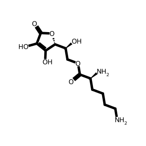 NCCCC[C@H](N)C(=O)OC[C@H](O)[C@H]1OC(=O)C(O)=C1O